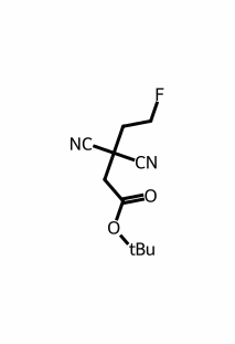 CC(C)(C)OC(=O)CC(C#N)(C#N)CCF